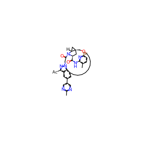 CC(=O)c1nn2c3c(cc(-c4cnc(C)nc4)cc13)CCCCCCCCCOC[C@@]13C[C@@H](C(=O)Nc4nc(Br)ccc4C)N(C(=O)C2)[C@@H]1C3